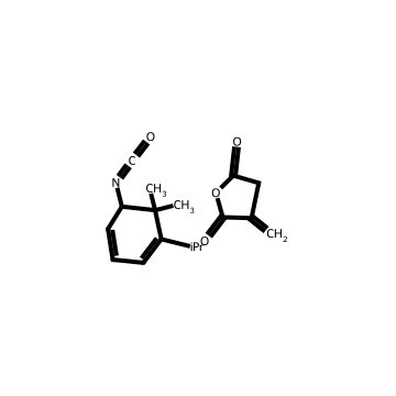 C=C1CC(=O)OC1=O.CC(C)C1=CC=CC(N=C=O)C1(C)C